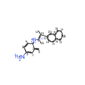 C=C1C=C(N)C=C/C1=N/C(C)=C(\C)c1ccc2ccccc2c1